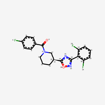 O=C(c1ccc(F)cc1)N1CCC[C@H](c2nc(-c3c(F)cccc3F)no2)C1